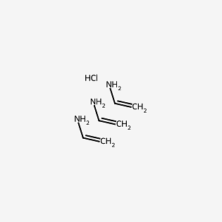 C=CN.C=CN.C=CN.Cl